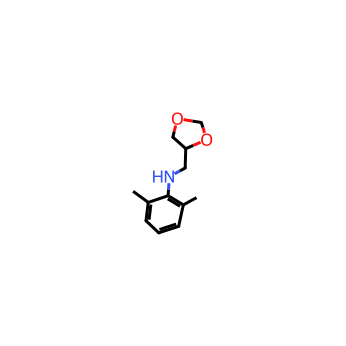 Cc1cccc(C)c1NCC1COCO1